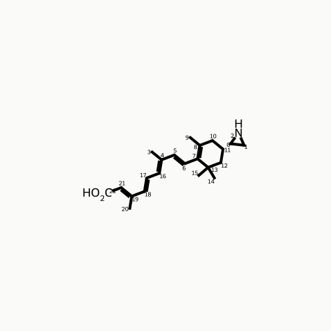 C1CN1.CC(C=CC1=C(C)CCCC1(C)C)=CC=CC(C)=CC(=O)O